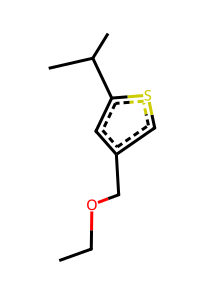 CCOCc1csc(C(C)C)c1